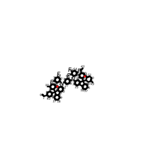 C=Cc1ccc(C2(c3cc(C)ccc3C)c3ccccc3-c3ccc(N(c4ccc(N(c5ccc6c(c5)C(c5ccc(C=C)cc5)(C5CC(C)=CC=C5C)c5ccccc5-6)c5cc(F)cc(F)c5F)cc4)c4cc(F)cc(F)c4F)cc32)cc1